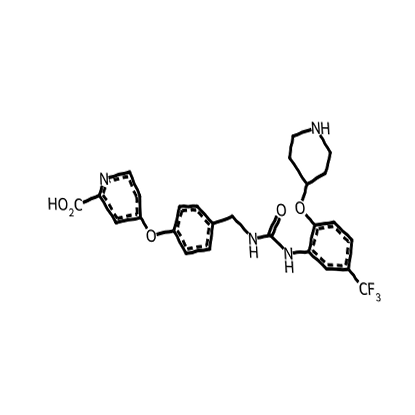 O=C(NCc1ccc(Oc2ccnc(C(=O)O)c2)cc1)Nc1cc(C(F)(F)F)ccc1OC1CCNCC1